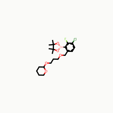 CC1(C)OB(c2c(COCCCOC3CCCCO3)ccc(Cl)c2F)OC1(C)C